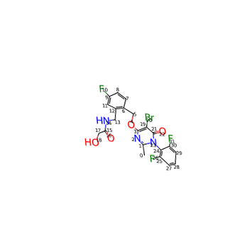 Cc1nc(OCc2ccc(F)cc2CNC(=O)CO)c(Br)c(=O)n1-c1c(F)cccc1F